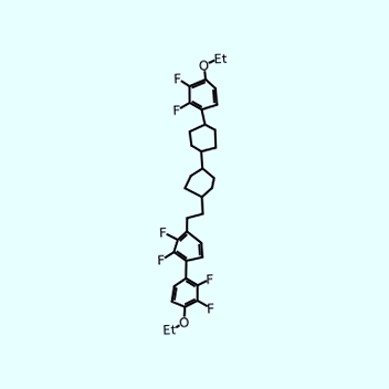 CCOc1ccc(-c2ccc(CCC3CCC(C4CCC(c5ccc(OCC)c(F)c5F)CC4)CC3)c(F)c2F)c(F)c1F